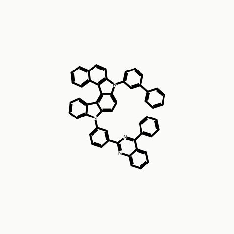 c1ccc(-c2cccc(-n3c4ccc5ccccc5c4c4c5c6ccccc6n(-c6cccc(-c7nc(-c8ccccc8)c8ccccc8n7)c6)c5ccc43)c2)cc1